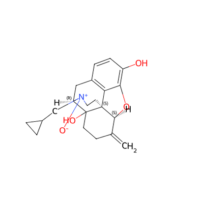 C=C1CCC2(O)[C@H]3Cc4ccc(O)c5c4[C@@]2(CC[N+]3([O-])CC2CC2)[C@H]1O5